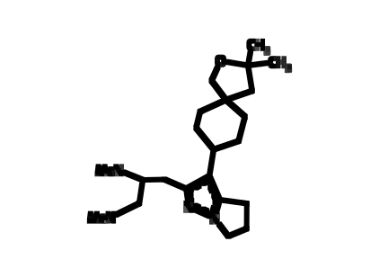 CNCC(Cc1nn2c(c1C1CCC3(CC1)COC(C)(C)C3)CCC2)NC